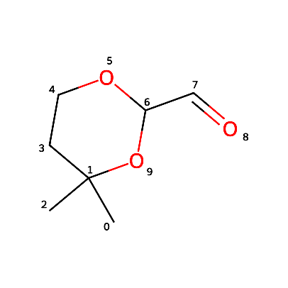 CC1(C)CCOC(C=O)O1